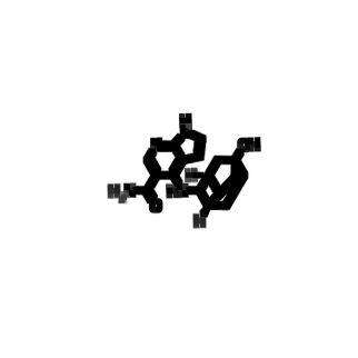 NC(=O)c1cnc2[nH]ccc2c1NC1[C@@H]2CC3C[C@H]1CC(O)(C3)C2